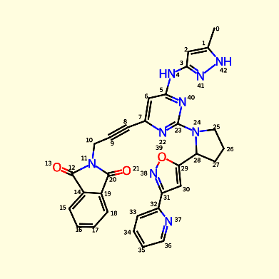 Cc1cc(Nc2cc(C#CCN3C(=O)c4ccccc4C3=O)nc(N3CCCC3c3cc(-c4ccccn4)no3)n2)n[nH]1